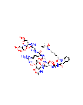 CCC(C)C(=O)NCCCCCC(=O)N[C@@H](Cc1ccccc1)C(=O)NCC(=O)N[C@@H](CC(=O)N[C@@H]1OC(CO)[C@@H](O)C(O)C1NC(C)=O)C(=O)NCC(=O)N[C@@H](CCCNC(=N)N)C(=O)NCC(=O)N[C@@H](CC(=O)O)C(=O)N[C@@H](CO)C(=O)O